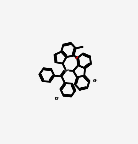 Cc1ccc2c(c1C)[CH]([Zr+2](=[C](c1ccccc1)c1ccccc1)[CH]1c3ccccc3-c3ccccc31)C=C2.[Cl-].[Cl-]